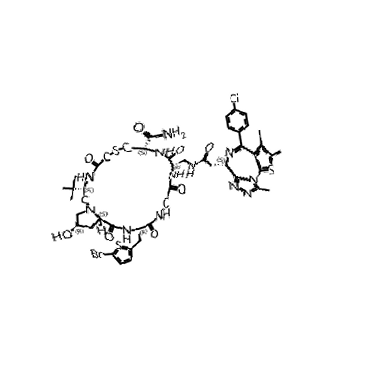 Cc1sc2c(c1C)C(c1ccc(Cl)cc1)=N[C@@H](CC(=O)NC[C@H]1NC(=O)CNC(=O)[C@@H](Cc3ccc(Br)s3)NC(=O)[C@@H]3C[C@@H](O)CN3C[C@H](C(C)(C)C)NC(=O)CSC[C@H](C(N)=O)NC1=O)c1nnc(C)n1-2